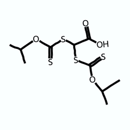 CC(C)OC(=S)SC(SC(=S)OC(C)C)C(=O)O